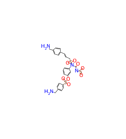 NCc1ccc(C=CCS(=O)(=O)N(C(=O)N=S(=O)=O)c2cccc(OS(=O)(=O)c3ccc(CN)cc3)c2)cc1